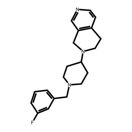 Fc1cccc(CN2CCC(N3CCc4ccncc4C3)CC2)c1